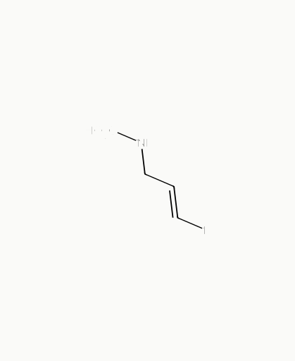 O=C(O)NCC=CF